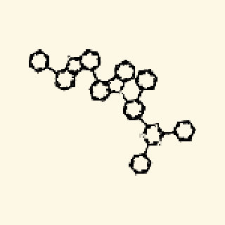 c1ccc(-c2nc(-c3ccccc3)nc(-c3ccc(-n4c5ccccc5c5c(-c6cccc7sc8c(-c9ccccc9)cccc8c67)cccc54)c(-c4ccccc4)c3)n2)cc1